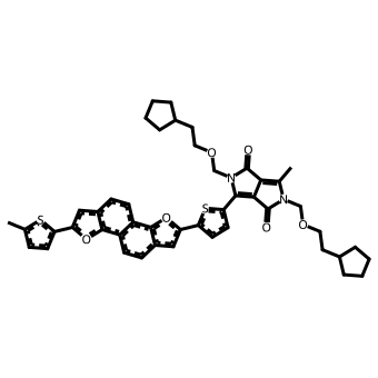 CC1=C2C(=O)N(COCCC3CCCC3)C(c3ccc(-c4cc5ccc6c(ccc7cc(-c8ccc(C)s8)oc76)c5o4)s3)=C2C(=O)N1COCCC1CCCC1